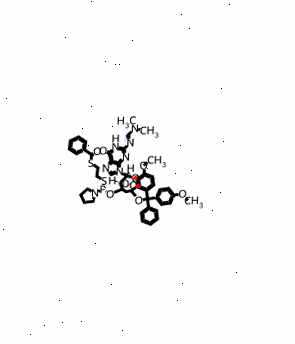 COc1ccc(C(OC2CC(OP(SCCSC(=O)c3ccccc3)N3CCCC3)[C@@H]3OCC2O[C@H]3n2cnc3c(=O)[nH]c(/N=C/N(C)C)nc32)(c2ccccc2)c2ccc(OC)cc2)cc1